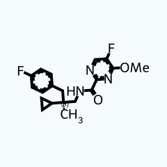 COc1nc(C(=O)NC[C@](C)(Cc2ccc(F)cc2)C2CC2)ncc1F